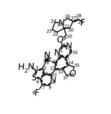 N#Cc1c(N)sc2c(F)cnc(-c3c4c(c5cnc(OCC67CCCN6CC(=CF)C7)nc5c3F)COC4)c12